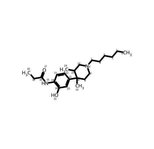 CCCCCCN1CCC(C)(c2ccc(NC(=O)CC)c(O)c2)C(C)C1